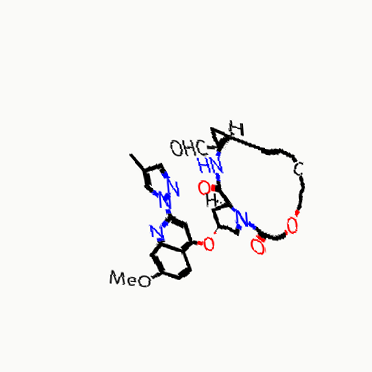 COc1ccc2c(O[C@@H]3C[C@H]4C(=O)N[C@]5(C=O)C[C@H]5/C=C\CCCCOCC(=O)N4C3)cc(-n3cc(C)cn3)nc2c1